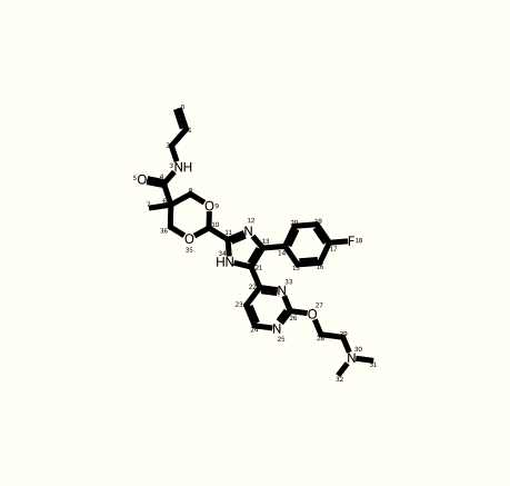 C=CCNC(=O)C1(C)COC(c2nc(-c3ccc(F)cc3)c(-c3ccnc(OCCN(C)C)n3)[nH]2)OC1